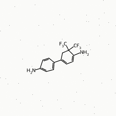 NC1=CC=C(c2ccc(N)cc2)CC1(C(F)(F)F)C(F)(F)F